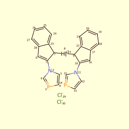 C1=C(n2ccpc2)[CH]([Hf+2][CH]2C(n3ccpc3)=Cc3ccccc32)c2ccccc21.[Cl-].[Cl-]